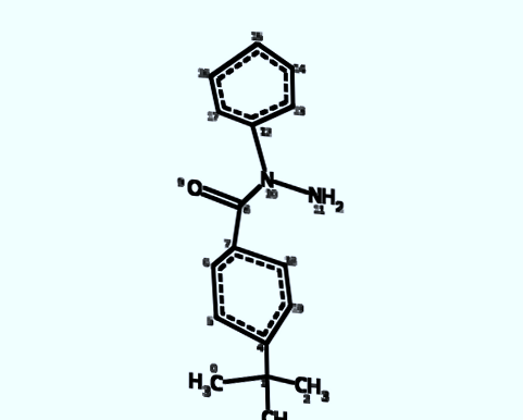 CC(C)(C)c1ccc(C(=O)N(N)c2ccccc2)cc1